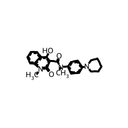 CN(C(=O)c1c(O)c2ccccc2n(C)c1=O)c1ccc(N2CCCCC2)cc1